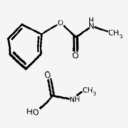 CNC(=O)O.CNC(=O)Oc1ccccc1